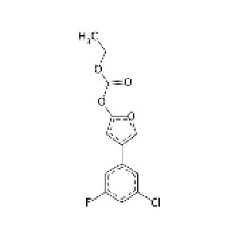 CCOC(=O)Oc1cc(-c2cc(F)cc(Cl)c2)co1